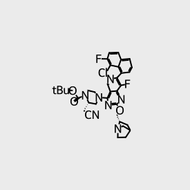 CC(C)(C)OC(=O)N1CCN(c2nc(OC[C@@H]3CC4CCN3C4)nc3c(F)c(-c4cccc5ccc(F)c(Cl)c45)ncc23)C[C@@H]1CC#N